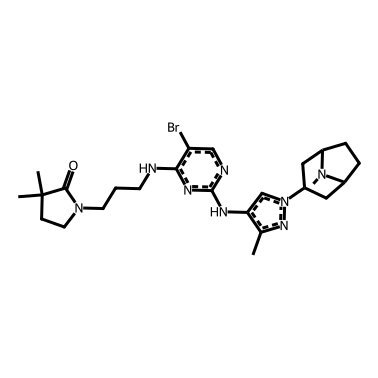 Cc1nn(C2CC3CCC(C2)N3C)cc1Nc1ncc(Br)c(NCCCN2CCC(C)(C)C2=O)n1